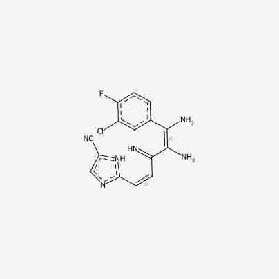 N#Cc1cnc(/C=C\C(=N)/C(N)=C(/N)c2ccc(F)c(Cl)c2)[nH]1